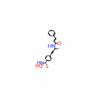 C[C@@H](C#Cc1ccc(C(=S)NO)cc1)NC(=O)C=Cc1ccccc1